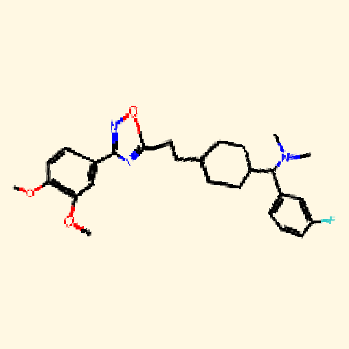 COc1ccc(-c2noc(CCC3CCC(C(c4cccc(F)c4)N(C)C)CC3)n2)cc1OC